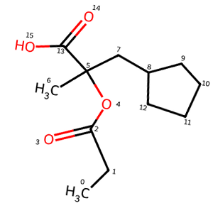 CCC(=O)OC(C)(CC1CCCC1)C(=O)O